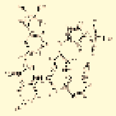 Cc1cc(F)cc(C(=O)NCc2cccc(OC(F)(F)F)c2)c1NC(=O)c1cc(Cn2nnc(C(F)(F)F)n2)nn1-c1ncccc1Cl